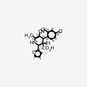 CCC1(C(=O)O)C(c2ccco2)NC(C)=C(C#N)C1c1ccc(Cl)cc1Cl